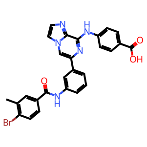 Cc1cc(C(=O)Nc2cccc(-c3cn4ccnc4c(Nc4ccc(C(=O)O)cc4)n3)c2)ccc1Br